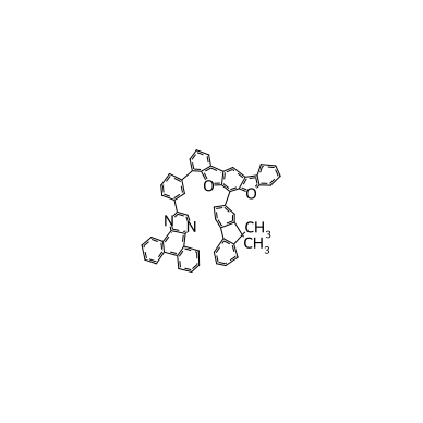 CC1(C)c2ccccc2-c2ccc(-c3c4oc5ccccc5c4cc4c3oc3c(-c5cccc(-c6cnc7c8ccccc8c8ccccc8c7n6)c5)cccc34)cc21